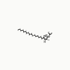 CCCCCCCCCCCCCCCCCC(=O)N[C@@H](C)C(=O)OC(C)C